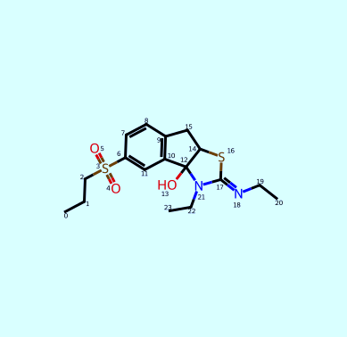 CCCS(=O)(=O)c1ccc2c(c1)C1(O)C(C2)S/C(=N\CC)N1CC